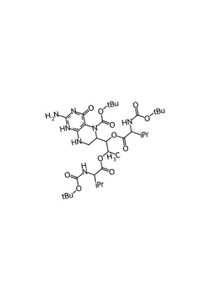 CC(C)C(NC(=O)OC(C)(C)C)C(=O)OC(C)C(OC(=O)C(NC(=O)OC(C)(C)C)C(C)C)C1CNc2[nH]c(N)nc(=O)c2N1C(=O)OC(C)(C)C